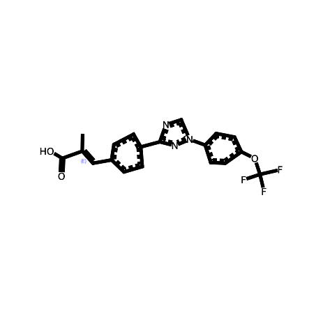 C/C(=C\c1ccc(-c2ncn(-c3ccc(OC(F)(F)F)cc3)n2)cc1)C(=O)O